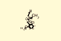 CCN(CC#N)S(=O)(=O)Cc1c(Cl)cccc1OC